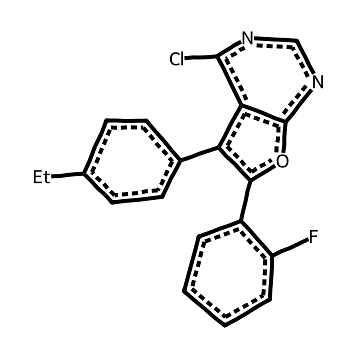 CCc1ccc(-c2c(-c3ccccc3F)oc3ncnc(Cl)c23)cc1